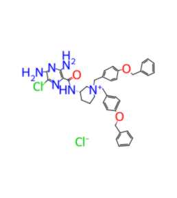 Nc1nc(N)c(C(=O)N[C@H]2CCC[N+](Cc3ccc(OCc4ccccc4)cc3)(Cc3ccc(OCc4ccccc4)cc3)C2)nc1Cl.[Cl-]